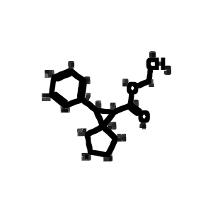 CCOC(=O)C1C(c2ccccc2)C12CCCC2